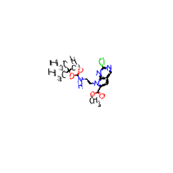 COC(=O)c1cc2cnc(Cl)nc2n1CCNC(=O)OC(C)(C)C